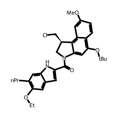 CCCc1cc2[nH]c(C(=O)N3C[C@@H](CCl)c4c3cc(OC(C)(C)C)c3ccc(OC)cc43)cc2cc1OCC